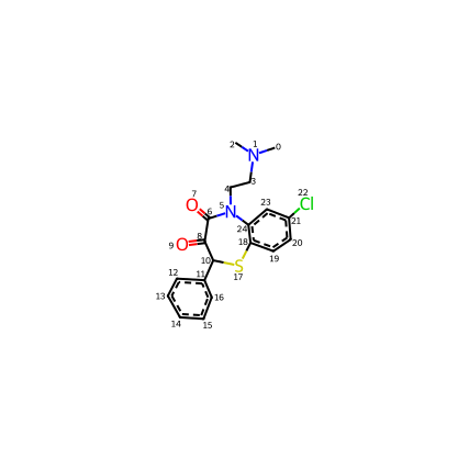 CN(C)CCN1C(=O)C(=O)C(c2ccccc2)Sc2ccc(Cl)cc21